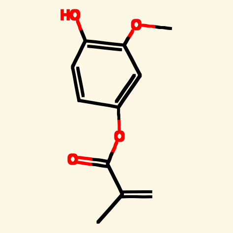 C=C(C)C(=O)Oc1ccc(O)c(OC)c1